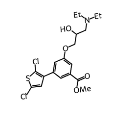 CCN(CC)CC(O)COc1cc(C(=O)OC)cc(-c2cc(Cl)sc2Cl)c1